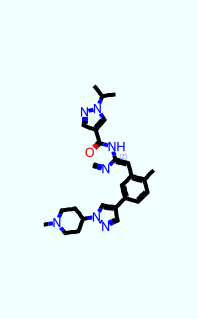 C=N/C(=C\c1cc(-c2cnn(C3CCN(C)CC3)c2)ccc1C)NC(=O)c1cnn(C(C)C)c1